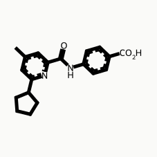 Cc1cc(C(=O)Nc2ccc(C(=O)O)cc2)nc(C2CCCC2)c1